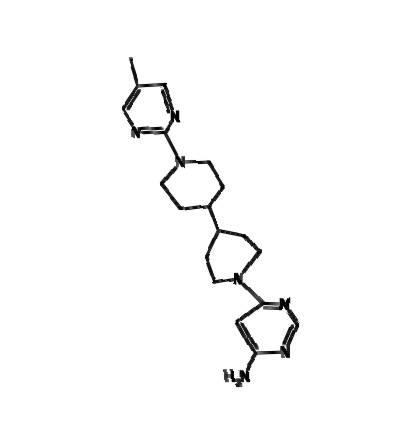 Cc1cnc(N2CCC(C3CCN(c4cc(N)ncn4)CC3)CC2)nc1